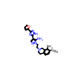 Bc1c(OC)ccc2c1CN(CCn1ncc(-c3nc(-c4ccco4)n[nH]3)c1N)CC2